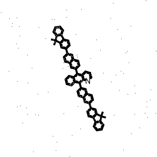 CC1(C)c2ccccc2-c2ccc(-c3ccc4cc(-c5c6ccccc6c(-c6ccc7cc(-c8ccc9c(c8)C(C)(C)c8ccccc8-9)ccc7c6)c6ncccc56)ccc4c3)cc21